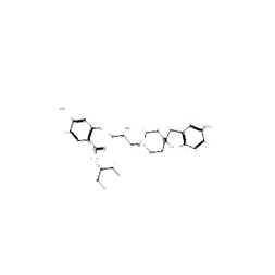 CCC(CC)NC(=O)c1ccc(O)cc1OC[C@@H](O)CN1CCC2(CC1)Cc1cc(Cl)ccc1O2